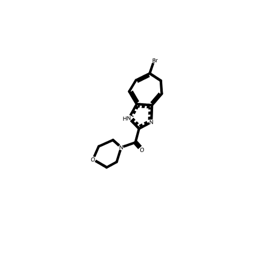 O=C(c1nc2c([nH]1)=CC=C(Br)CC=2)N1CCOCC1